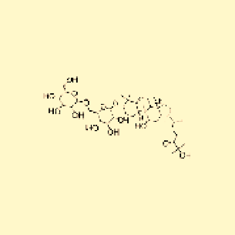 CC[C@@]12CC[C@H]([C@H](C)CCC(=O)C(C)(C)O)[C@@]1(C)C[C@@H](O)[C@]1(C)C2CC=C2[C@H]1CC[C@H](O[C@@H]1O[C@H](CO[C@@H]3O[C@H](CO)[C@@H](O)[C@H](O)[C@H]3O)[C@@H](O)[C@H](O)[C@H]1O)C2(C)C